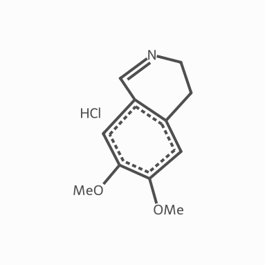 COc1cc2c(cc1OC)CCN=C2.Cl